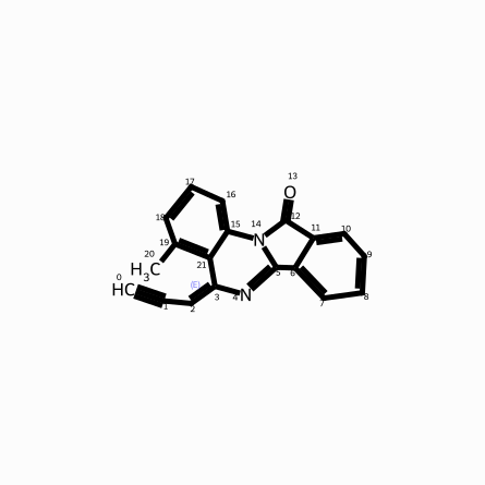 C#C/C=C1/N=C2c3ccccc3C(=O)N2c2cccc(C)c21